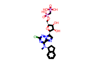 CN(c1nc(Cl)nn2c([C@@H]3O[C@H](COP(=O)(O)CP(=O)(O)O)[C@@H](O)[C@H]3O)cnc12)[C@@H]1CCc2ccccc21